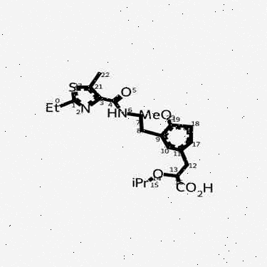 CCc1nc(C(=O)NCCc2cc(CC(OC(C)C)C(=O)O)ccc2OC)c(C)s1